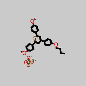 CCCCOc1ccc(-c2cc(-c3ccc(OC)cc3)[s+]c(-c3ccc(OC)cc3)c2)cc1.[O-][Cl+3]([O-])([O-])[O-]